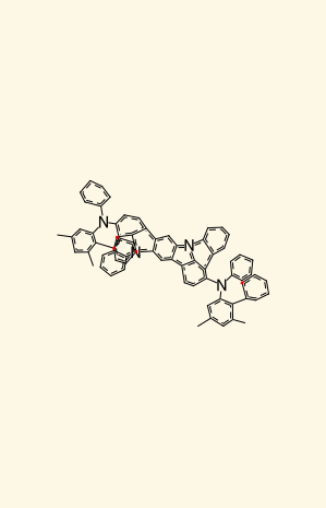 Cc1cc(C)c(-c2ccccc2)c(N(c2ccccc2)c2ccc3c4cc5c(cc4n4c6ccccc6c2c34)c2ccc(N(c3ccccc3)c3cc(C)cc(C)c3-c3ccccc3)c3c4ccccc4n5c23)c1